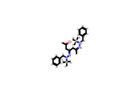 CC(=O)CC(CC(C)=NN(Cc1ccccc1)[Si](C)(C)C)=NN(Cc1ccccc1)[Si](C)(C)C